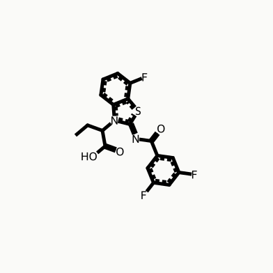 CCC(C(=O)O)n1/c(=N/C(=O)c2cc(F)cc(F)c2)sc2c(F)cccc21